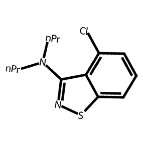 CCCN(CCC)c1nsc2cccc(Cl)c12